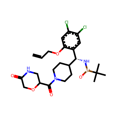 C=CCOc1cc(Cl)c(Cl)cc1[C@H](N[S+]([O-])C(C)(C)C)C1CCN(C(=O)C2CNC(=O)CO2)CC1